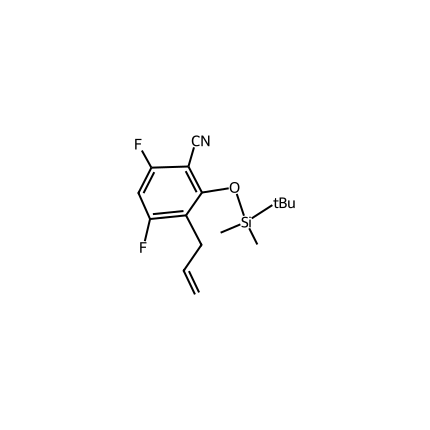 C=CCc1c(F)cc(F)c(C#N)c1O[Si](C)(C)C(C)(C)C